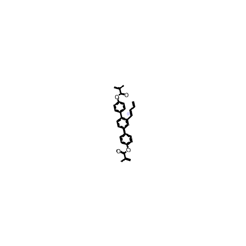 C=C/C=C/c1cc(-c2ccc(OC(=O)C(=C)C)cc2)ccc1-c1ccc(OC(=O)C(=C)C)cc1